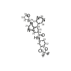 O=C(Nc1ccc(OC(F)(F)Cl)cc1)c1cc(-c2cncnc2)c2c(c1)ncn2C[C@@H]1CCCO1